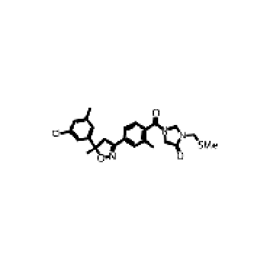 CSCN1CN(C(=O)c2ccc(C3=NOC(C)(c4cc(C)cc(Cl)c4)C3)cc2C)CC1=O